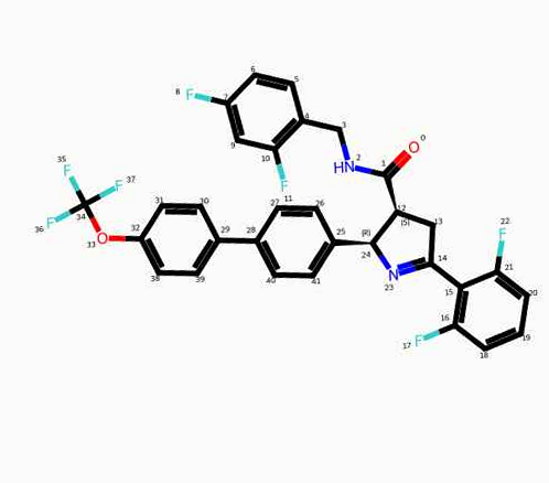 O=C(NCc1ccc(F)cc1F)[C@H]1CC(c2c(F)cccc2F)=N[C@H]1c1ccc(-c2ccc(OC(F)(F)F)cc2)cc1